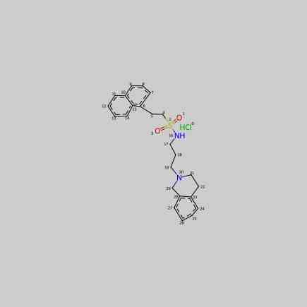 Cl.O=S(=O)(CCc1cccc2ccccc12)NCCCN1CCc2ccccc2C1